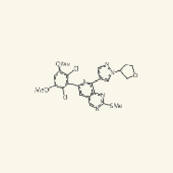 COc1cc(OC)c(Cl)c(-c2cc3cnc(SC)nc3c(-c3cnn(C4CCOC4)c3)n2)c1Cl